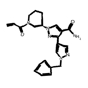 C=CC(=O)N1CCC[C@@H](n2cc(C(N)=O)c(-c3cnn(Cc4ccccc4)c3)n2)C1